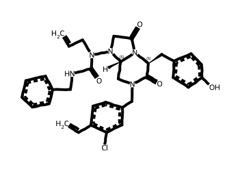 C=CCN(C(=O)NCc1ccccc1)N1CC(=O)N2[C@@H](Cc3ccc(O)cc3)C(=O)N(Cc3ccc(C=C)c(Cl)c3)C[C@@H]21